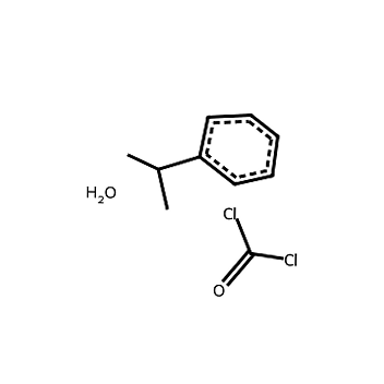 CC(C)c1ccccc1.O.O=C(Cl)Cl